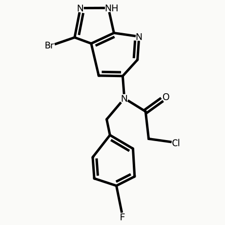 O=C(CCl)N(Cc1ccc(F)cc1)c1cnc2[nH]nc(Br)c2c1